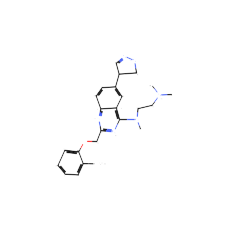 COc1ccccc1OCc1nc(N(C)CCN(C)C)c2cc(C3C=NNC3)ccc2n1